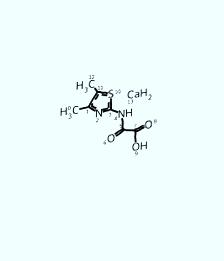 Cc1nc(NC(=O)C(=O)O)sc1C.[CaH2]